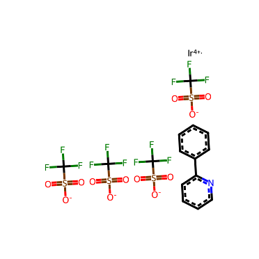 O=S(=O)([O-])C(F)(F)F.O=S(=O)([O-])C(F)(F)F.O=S(=O)([O-])C(F)(F)F.O=S(=O)([O-])C(F)(F)F.[Ir+4].c1ccc(-c2ccccn2)cc1